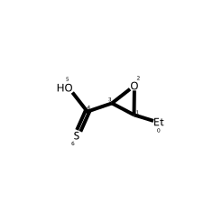 CCC1OC1C(O)=S